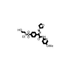 CCN(CCO)S(=O)(=O)c1ccc(/C(=N\O[C@@H]2CCOC2)C(=O)Nc2ccc(OC)cn2)cc1